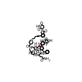 NC(=O)CCC(NC(=O)[C@@H]1CC[C@@H]2CCN(C(=O)C3CCN(CCCC#Cc4cccc5c4CN(C4CCC(=O)NC4=O)C5=O)CC3)C[C@H](NC(=O)c3cc4cc(C(F)(F)P(=O)(O)O)ccc4s3)C(=O)N21)C(=O)NC(c1ccccc1)c1ccccc1